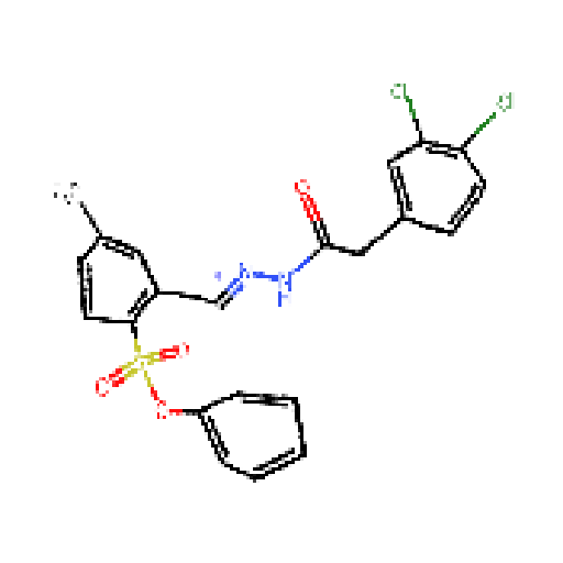 O=C(Cc1ccc(Cl)c(Cl)c1)N/N=C/c1cc(C(F)(F)F)ccc1S(=O)(=O)Oc1ccccc1